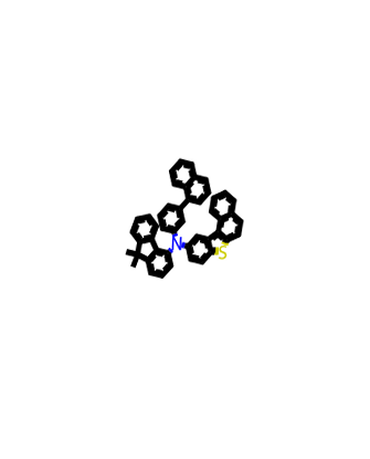 CC1(C)c2ccccc2-c2c(N(c3cccc(-c4cccc5ccccc45)c3)c3ccc4sc5ccc6ccccc6c5c4c3)cccc21